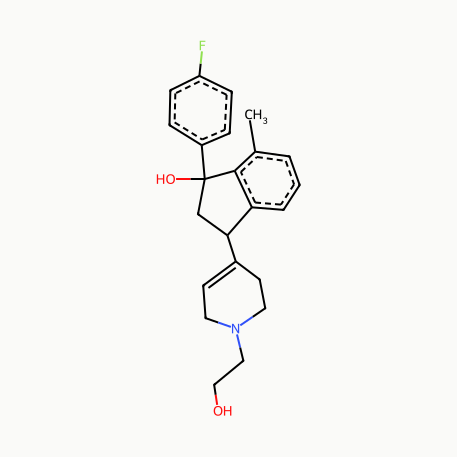 Cc1cccc2c1C(O)(c1ccc(F)cc1)CC2C1=CCN(CCO)CC1